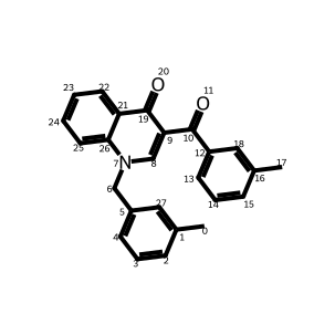 Cc1cccc(Cn2cc(C(=O)c3cccc(C)c3)c(=O)c3ccccc32)c1